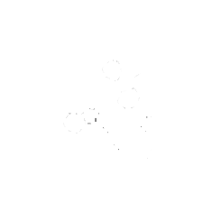 O=C(NC[C@H]1C[C@@H]1CN1CCN(c2nsc3ccccc23)CC1)c1ccc2c(c1)C(=O)c1ccccc1-2